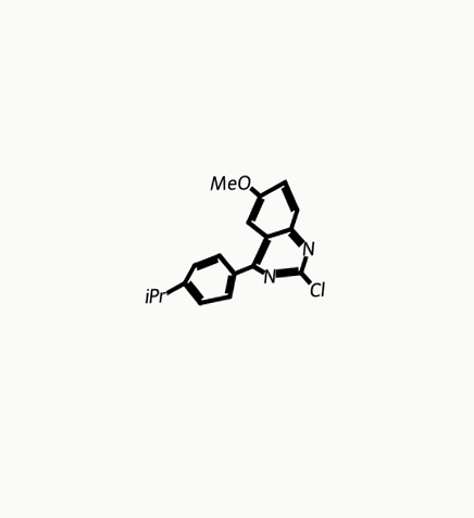 COc1ccc2nc(Cl)nc(-c3ccc(C(C)C)cc3)c2c1